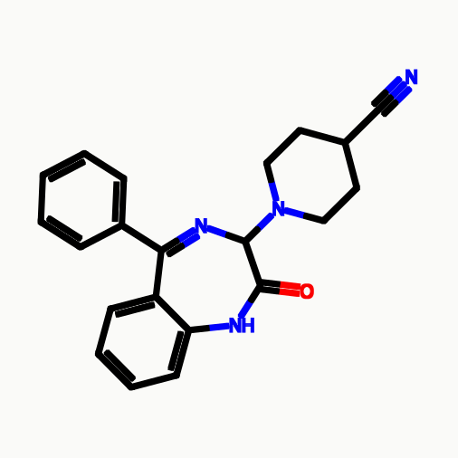 N#CC1CCN(C2N=C(c3ccccc3)c3ccccc3NC2=O)CC1